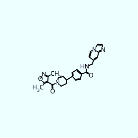 Cc1noc(C)c1C(=O)N1CCC(c2ccc(C(=O)NCc3ccn4ccnc4c3)cc2)CC1